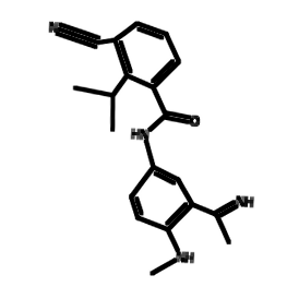 CNc1ccc(NC(=O)c2cccc(C#N)c2C(C)C)cc1C(C)=N